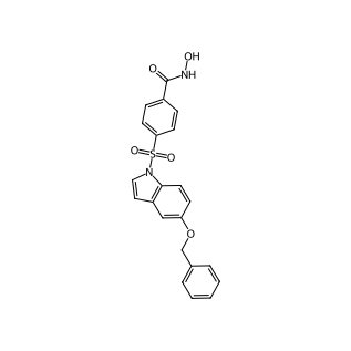 O=C(NO)c1ccc(S(=O)(=O)n2ccc3cc(OCc4ccccc4)ccc32)cc1